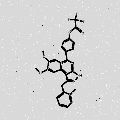 COc1cc2c(-c3ccc(OC(=O)C(F)(F)F)cc3)nc3[nH]nc(Cc4ccccc4C)c3c2cc1OC